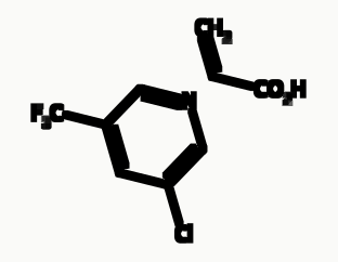 C=CC(=O)O.FC(F)(F)c1cncc(Cl)c1